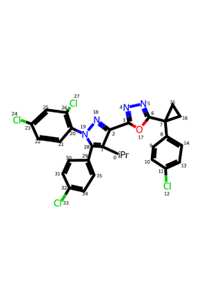 CC(C)c1c(-c2nnc(C3(c4ccc(Cl)cc4)CC3)o2)nn(-c2ccc(Cl)cc2Cl)c1-c1ccc(Cl)cc1